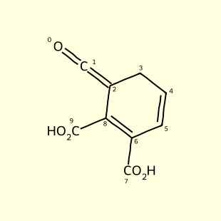 O=C=C1CC=CC(C(=O)O)=C1C(=O)O